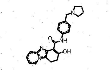 O=C(Nc1ccc(CN2CCCC2)cc1)C1=C(O)CCc2c1nc1ccccn21